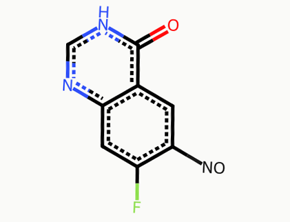 O=Nc1cc2c(=O)[nH]cnc2cc1F